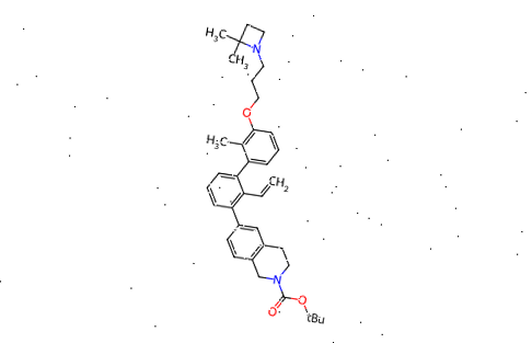 C=Cc1c(-c2ccc3c(c2)CCN(C(=O)OC(C)(C)C)C3)cccc1-c1cccc(OCCCN2CCC2(C)C)c1C